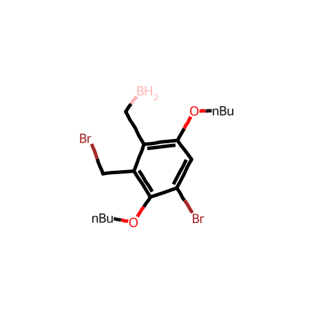 BCc1c(OCCCC)cc(Br)c(OCCCC)c1CBr